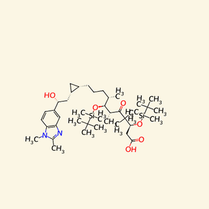 Cc1nc2cc([C@H](O)C[C@@H]3C[C@@H]3CCC[C@H](C)[C@H](O[Si](C)(C)C(C)(C)C)[C@@H](C)C(=O)C(C)(C)[C@H](CC(=O)O)O[Si](C)(C)C(C)(C)C)ccc2n1C